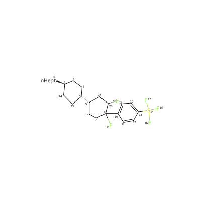 CCCCCCC[C@H]1CC[C@H](C2CCC(F)(c3ccc(S(F)(F)F)cc3)C(F)C2)CC1